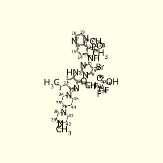 CCc1cc(Nc2ncc(Br)c(Nc3ccc4nccnc4c3P(C)(C)=O)n2)c(OC)nc1N1CCC(N2CCN(C)CC2)CC1.O=C(O)C(F)(F)F